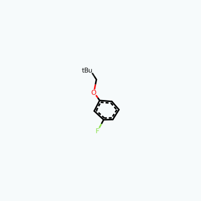 CC(C)(C)COc1cccc(F)c1